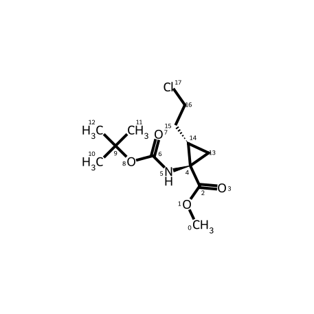 COC(=O)[C@@]1(NC(=O)OC(C)(C)C)C[C@H]1CCCl